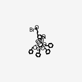 COc1cc(C=CC(=O)Br)cc(OC)c1O[C@@H]1O[C@H](COCc2ccccc2)[C@@H](OCc2ccccc2)[C@H](OCc2ccccc2)[C@H]1OCc1ccccc1